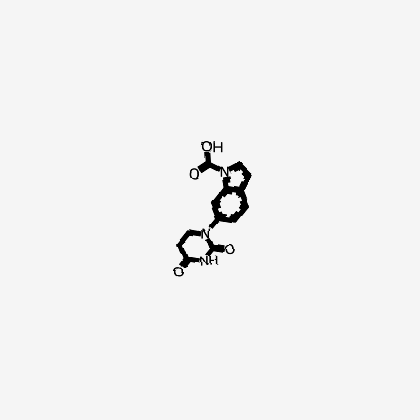 O=C1CCN(c2ccc3ccn(C(=O)O)c3c2)C(=O)N1